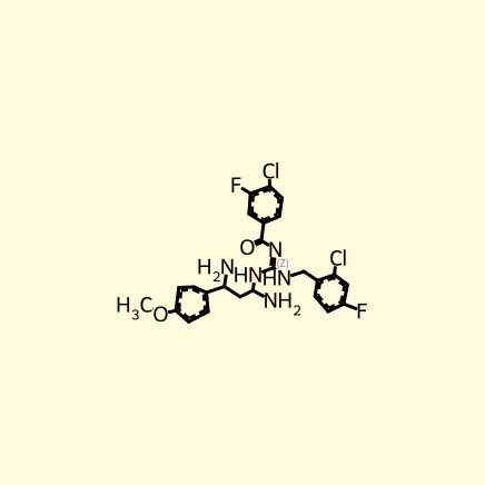 COc1ccc(C(N)CC(N)N/C(=N\C(=O)c2ccc(Cl)c(F)c2)NCc2ccc(F)cc2Cl)cc1